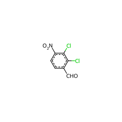 O=Cc1ccc([N+](=O)[O-])c(Cl)c1Cl